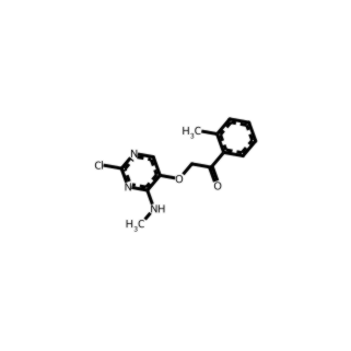 CNc1nc(Cl)ncc1OCC(=O)c1ccccc1C